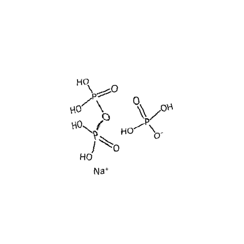 O=P(O)(O)OP(=O)(O)O.O=P([O-])(O)O.[Na+]